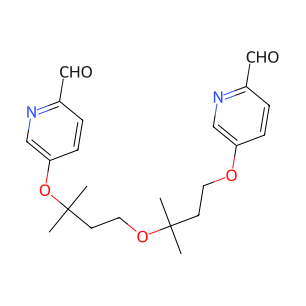 CC(C)(CCOc1ccc(C=O)nc1)OCCC(C)(C)Oc1ccc(C=O)nc1